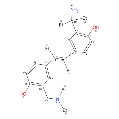 CC/C(=C(/CC)c1ccc(O)c(C(N)(CC)CC)c1)c1ccc(O)c(CN(CC)CC)c1